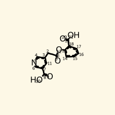 O=C(Cc1cncc(C(=O)O)c1)Oc1ccccc1C(=O)O